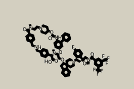 CN(CCN1CCC(OC(=O)Nc2ccccc2-c2ccccc2)CC1)C(=O)c1ccc(CNCc2ccc(C(C(=O)O)N(C)C(=O)CO[C@H]3Cc4ccccc4C34CCN(CC[C@@]3(c5ccc(F)cc5)CN(C(=O)c5cc(C(F)(F)F)cc(C(F)(F)F)c5)CO3)CC4)cc2)cc1